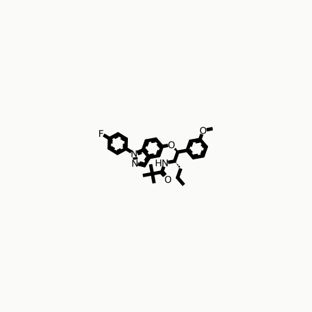 CCC[C@H](NC(=O)C(C)(C)C)[C@@H](Oc1ccc2c(cnn2-c2ccc(F)cc2)c1)c1cccc(OC)c1